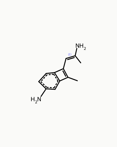 CC1=C(/C=C(\C)N)c2ccc(N)cc21